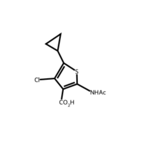 CC(=O)Nc1sc(C2CC2)c(Cl)c1C(=O)O